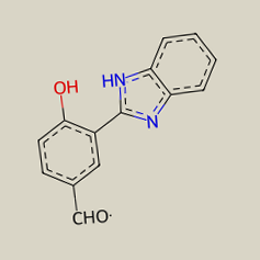 O=[C]c1ccc(O)c(-c2nc3ccccc3[nH]2)c1